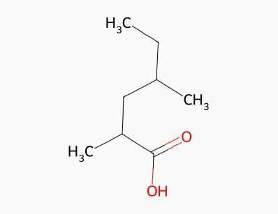 CCC(C)CC(C)C(=O)O